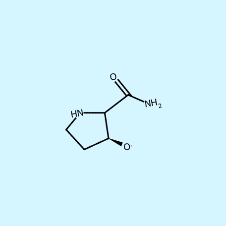 NC(=O)C1NCC[C@@H]1[O]